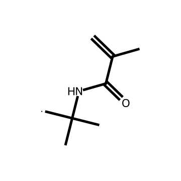 [CH2]C(C)(C)NC(=O)C(=C)C